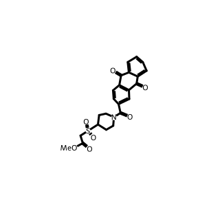 COC(=O)CS(=O)(=O)C1CCN(C(=O)c2ccc3c(c2)C(=O)c2ccccc2C3=O)CC1